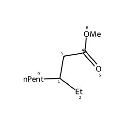 CCCCCC(CC)CC(=O)OC